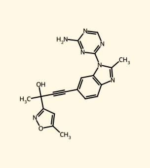 Cc1cc(C(C)(O)C#Cc2ccc3nc(C)n(-c4ncnc(N)n4)c3c2)no1